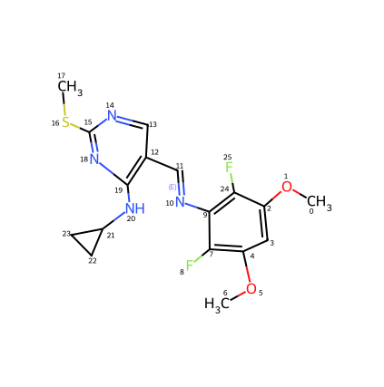 COc1cc(OC)c(F)c(/N=C/c2cnc(SC)nc2NC2CC2)c1F